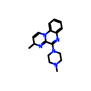 CC1C=CN2C(=N1)C(N1CCN(C)CC1)=Nc1ccccc12